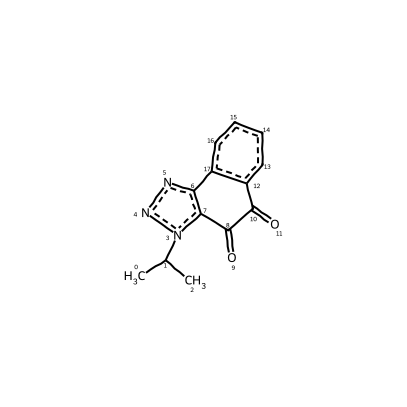 CC(C)n1nnc2c1C(=O)C(=O)c1ccccc1-2